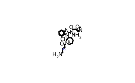 Cc1cccc2nc(N(N)C(=O)c3cnco3)n(C3CCCCN(C(=O)/C=C/CN)C3)c12